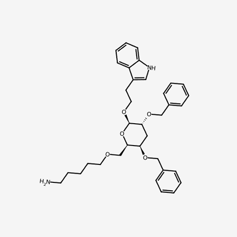 NCCCCCOC[C@H]1O[C@@H](OCCc2c[nH]c3ccccc23)[C@H](OCc2ccccc2)C[C@H]1OCc1ccccc1